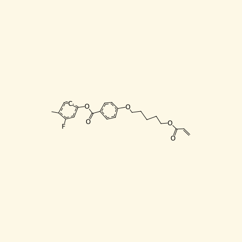 C=CC(=O)OCCCCCOc1ccc(C(=O)Oc2ccc(C)c(F)c2)cc1